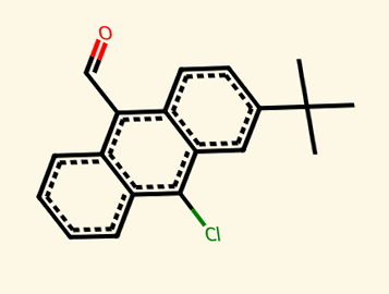 CC(C)(C)c1ccc2c(C=O)c3ccccc3c(Cl)c2c1